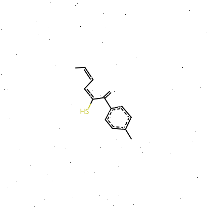 C=C(/C(S)=C\C=C/C)c1ccc(C)cc1